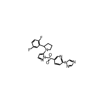 O=S(=O)(c1ccc(-n2cncn2)nc1)n1nccc1N1CCCC1c1cc(F)ccc1F